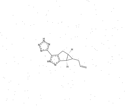 C=CCC1[C@H]2c3n[nH]c(-c4nn[nH]n4)c3C[C@@H]12